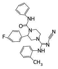 Cc1ccccc1N/C(=N/C#N)N1CCN(C(=O)Nc2ccccc2)C(c2ccc(F)cc2)C1